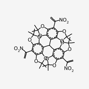 C=C(c1c2c(c(C(c3c4c(c(C(=C)[N+](=O)[O-])c5c3OC(C)(C)O5)OC(C)(C)O4)c3c4c(c(C(=C)[N+](=O)[O-])c5c3OC(C)(C)O5)OC(C)(C)O4)c3c1OC(C)(C)O3)OC(C)(C)O2)[N+](=O)[O-]